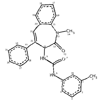 Cc1cccc(NC(=O)NC2C(=O)N(C)c3ccccc3C=C2c2ccccc2)c1